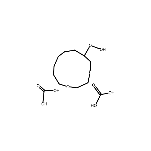 O=C(O)O.O=C(O)O.OOC1CCCCCCCCCCC1